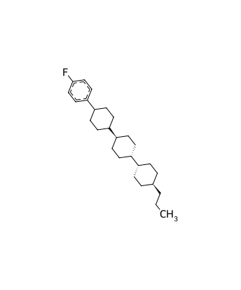 CCC[C@H]1CC[C@H]([C@H]2CC[C@H](C3CCC(c4ccc(F)cc4)CC3)CC2)CC1